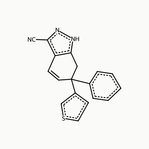 N#Cc1n[nH]c2c1C=CC(c1ccccc1)(c1ccsc1)C2